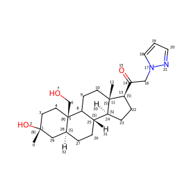 C[C@@]1(O)CC[C@]2(CO)C3CC[C@]4(C)[C@@H](C(=O)Cn5cccn5)CC[C@H]4[C@@H]3CC[C@H]2C1